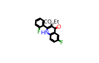 CCOC(=O)c1c(-c2ccccc2F)[nH]c2ccc(F)cc2c1=O